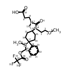 COCCN1C(=O)N(CCC(=O)O)C[C@]12CC[C@](c1ccccc1)(N(C)COC(=O)C(F)(F)F)CC2